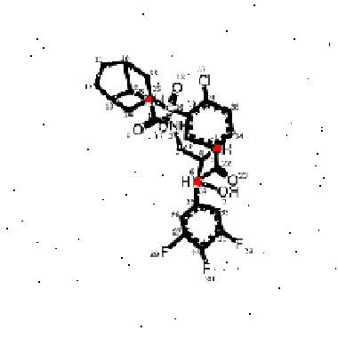 O=C(NCC(O)CO)NC1C2CCC1CC(S(=O)(=O)c1cc(C(=O)Nc3cc(F)c(F)c(F)c3)ccc1Cl)C2